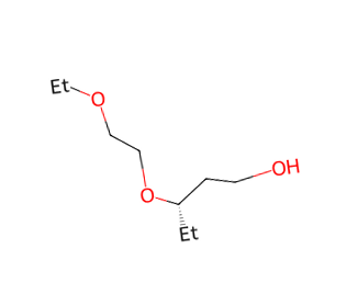 CCOCCO[C@@H](CC)CCO